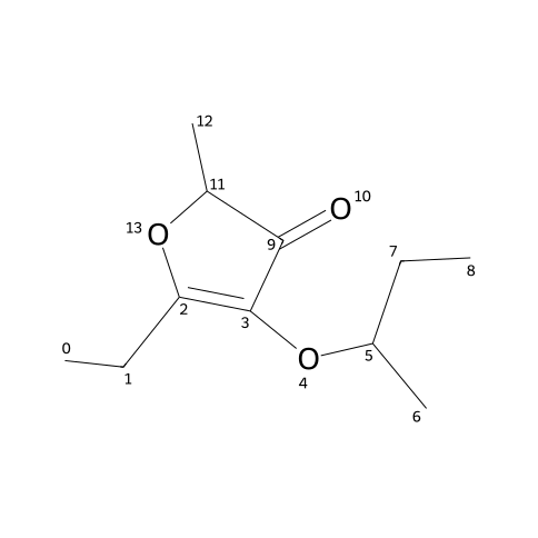 CCC1=C(OC(C)CC)C(=O)C(C)O1